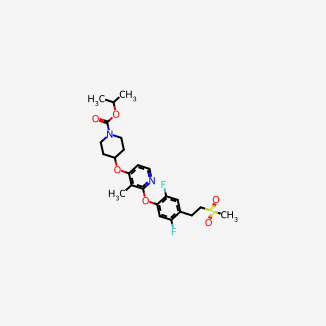 Cc1c(OC2CCN(C(=O)OC(C)C)CC2)ccnc1Oc1cc(F)c(CCS(C)(=O)=O)cc1F